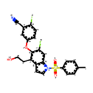 Cc1ccc(S(=O)(=O)n2ccc3c(CCO)c(Oc4ccc(F)c(C#N)c4)c(F)cc32)cc1